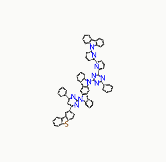 c1ccc(-c2cc(-c3ccc4sc5ccccc5c4c3)nc(-n3c4ccccc4c4cc5c(cc43)c3ccccc3n5-c3nc(-c4ccccc4)nc(-c4cccc(-c5cccc(-n6c7ccccc7c7ccccc76)n5)n4)n3)n2)cc1